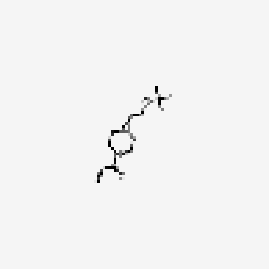 C=CC(=O)N1CCN(CCOC(C)(C)C)CC1